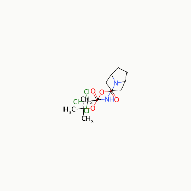 CC(C)(C)OC(=O)NC1CC2CCC(C1)N2C(=O)OCC(Cl)(Cl)Cl